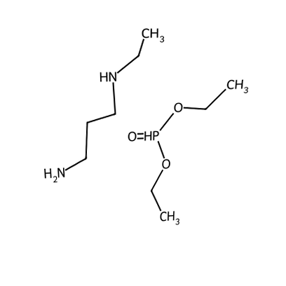 CCNCCCN.CCO[PH](=O)OCC